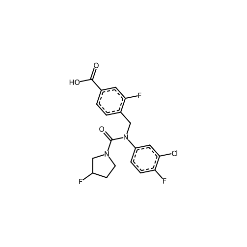 O=C(O)c1ccc(CN(C(=O)N2CCC(F)C2)c2ccc(F)c(Cl)c2)c(F)c1